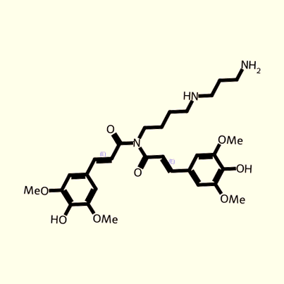 COc1cc(/C=C/C(=O)N(CCCCNCCCN)C(=O)/C=C/c2cc(OC)c(O)c(OC)c2)cc(OC)c1O